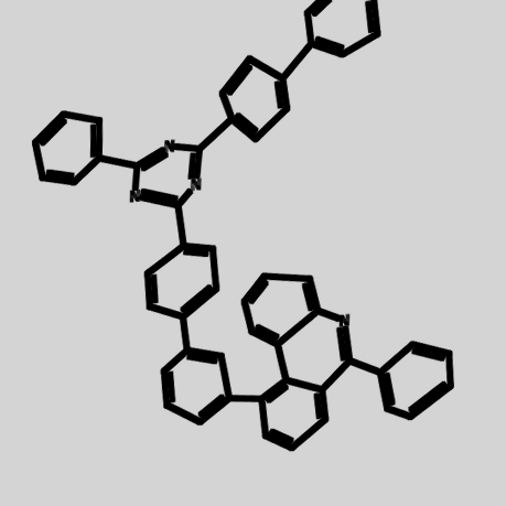 c1ccc(-c2ccc(-c3nc(-c4ccccc4)nc(-c4ccc(-c5cccc(-c6cccc7c(-c8ccccc8)nc8ccccc8c67)c5)cc4)n3)cc2)cc1